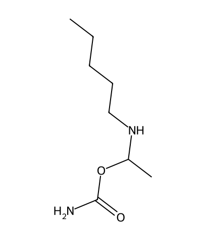 CCCCCNC(C)OC(N)=O